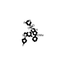 C=C(/C(C)=C\c1c(C)cnn1-c1ccc(F)cc1)[C@]12CN(S(=O)(=O)c3cncc(F)c3)C[C@H]1C[C@](OC)(c1ccccc1)C2